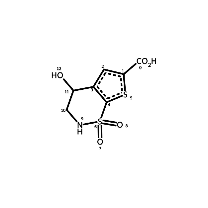 O=C(O)c1cc2c(s1)S(=O)(=O)NCC2O